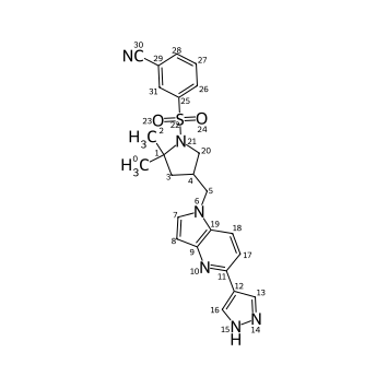 CC1(C)CC(Cn2ccc3nc(-c4cn[nH]c4)ccc32)CN1S(=O)(=O)c1cccc(C#N)c1